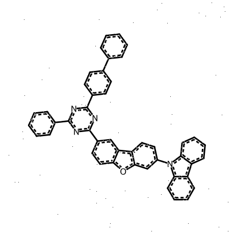 c1ccc(-c2ccc(-c3nc(-c4ccccc4)nc(-c4ccc5oc6cc(-n7c8ccccc8c8ccccc87)ccc6c5c4)n3)cc2)cc1